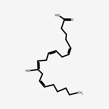 CCCCC/C=C\C/C(O)=C\C/C=C\C/C=C\CCCC(=O)O